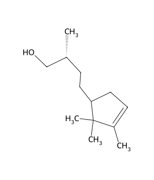 CC1=CCC(CC[C@@H](C)CO)C1(C)C